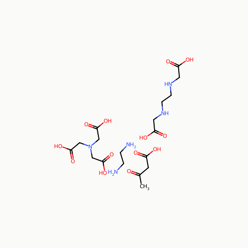 CC(=O)CC(=O)O.NCCN.O=C(O)CN(CC(=O)O)CC(=O)O.O=C(O)CNCCNCC(=O)O